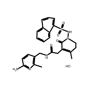 CC1=C(CC(=O)NCc2ccc(N)nc2C)C(=O)N(NS(=O)(=O)c2cccc3ccccc23)CC1.Cl